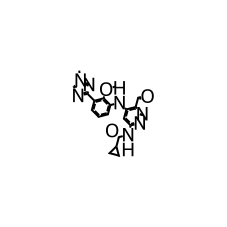 COc1c(Nc2cc(NC(=O)C3CC3)nnc2C=O)cccc1-c1ncn(C)n1